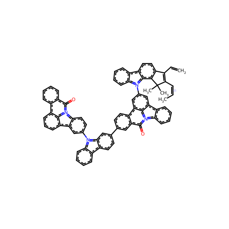 C=CC1=C(/C=C\C)C(C)(C)c2c1ccc1c3ccccc3n(-c3cc4c5ccc(-c6ccc7c8ccccc8n(-c8ccc9c(c8)c8cccc%10c%11ccccc%11c(=O)n9c%108)c7c6)cc5c(=O)n5c6ccccc6c(c3)c45)c21